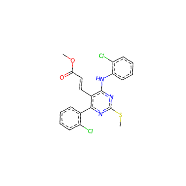 COC(=O)C=Cc1c(Nc2ccccc2Cl)nc(SC)nc1-c1ccccc1Cl